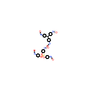 O=C=Nc1ccc(C(c2ccc(N=C=O)cc2)c2ccc(N=C=O)cc2)cc1.O=C=Nc1ccc(OP(=S)(Oc2ccc(N=C=O)cc2)Oc2ccc(N=C=O)cc2)cc1